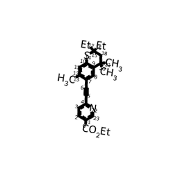 CCOC(=O)c1ccc(C#Cc2cc3c(cc2C)SC(CC)(CC)CC3(C)C)nc1